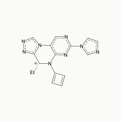 CC[C@@H]1c2nncn2-c2cnc(-n3ccnc3)nc2N1C1=CC=C1